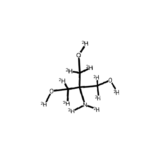 [2H]OC([2H])([2H])C(N([2H])[2H])(C([2H])([2H])O[2H])C([2H])([2H])O[2H]